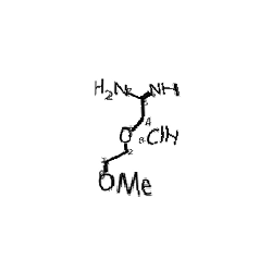 COCCOCC(=N)N.Cl